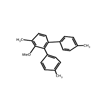 COc1c(C)[c]cc(-c2ccc(C)cc2)c1-c1ccc(C)cc1